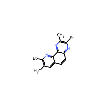 CCc1nc2c(ccc3nc(CC)c(C)nc32)cc1C